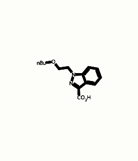 CCCCOCCn1nc(C(=O)O)c2ccccc21